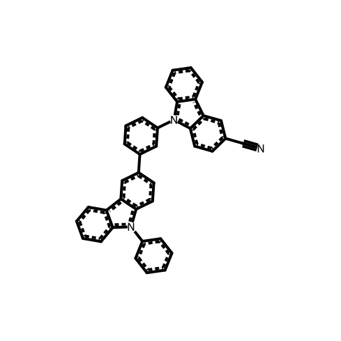 N#Cc1ccc2c(c1)c1ccccc1n2-c1cccc(-c2ccc3c(c2)c2ccccc2n3-c2ccccc2)c1